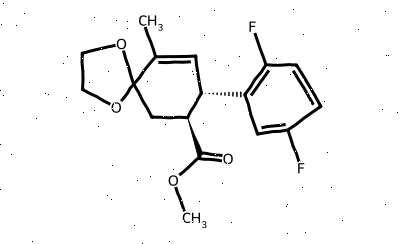 COC(=O)[C@H]1CC2(OCCO2)C(C)=C[C@@H]1c1cc(F)ccc1F